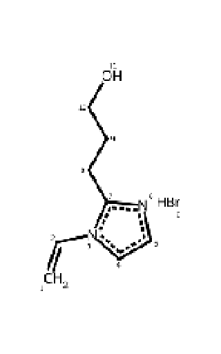 Br.C=Cn1ccnc1CCCO